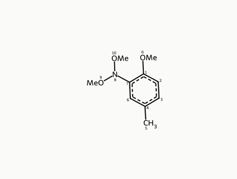 COc1ccc(C)cc1N(OC)OC